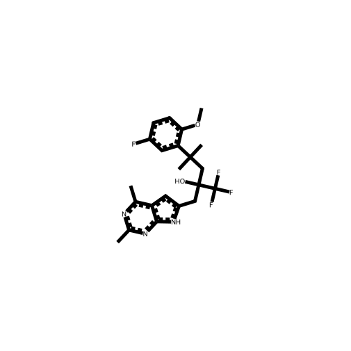 COc1ccc(F)cc1C(C)(C)CC(O)(Cc1cc2c(C)nc(C)nc2[nH]1)C(F)(F)F